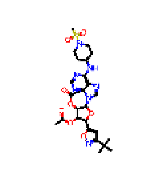 CC(=O)OC1C(c2cc(C(C)(C)C)no2)OC(n2cnc3c(NC4CCN(S(C)(=O)=O)CC4)ncnc32)C1OC(C)=O